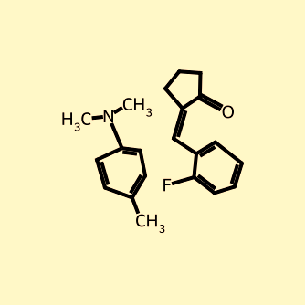 Cc1ccc(N(C)C)cc1.O=C1CCCC1=Cc1ccccc1F